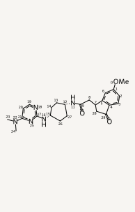 COc1ccc2c(c1)C(CC(=O)N[C@H]1CC[C@@H](Nc3nccc(N(C)C)n3)CC1)CC2=O